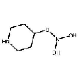 ON(O)OC1CCNCC1